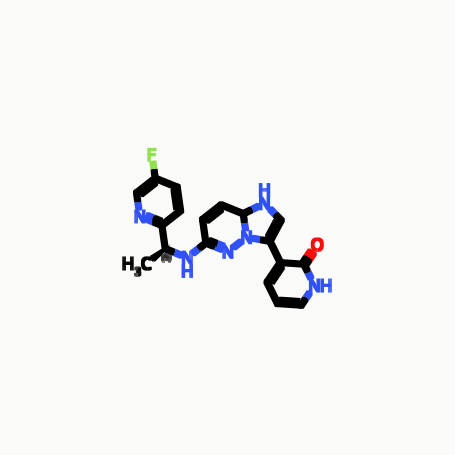 C[C@H](NC1=NN2C(c3ccc[nH]c3=O)=CNC2C=C1)c1ccc(F)cn1